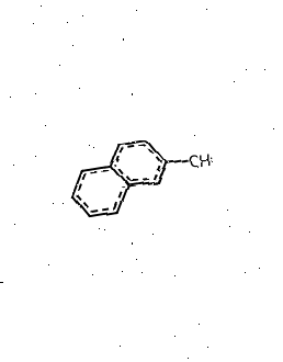 [CH]c1ccc2ccccc2c1